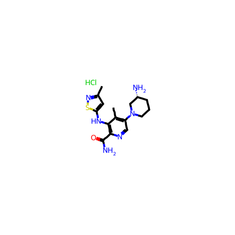 Cc1cc(Nc2c(C(N)=O)ncc(N3CCC[C@@H](N)C3)c2C)sn1.Cl